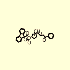 C[N+]1(CCCC(=O)c2ccccc2)CC[C@@H](OC(=O)C2(OC=O)c3ccccc3-c3ccccc32)C1